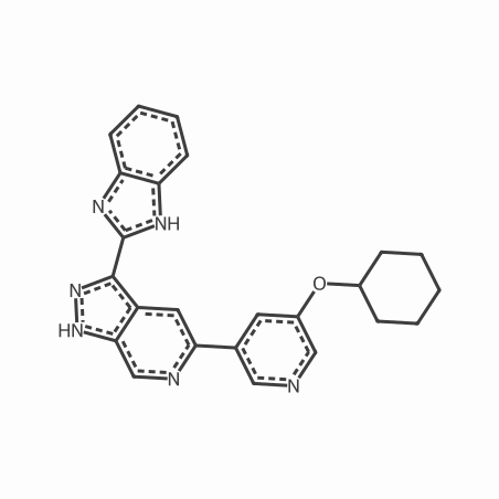 c1ccc2[nH]c(-c3n[nH]c4cnc(-c5cncc(OC6CCCCC6)c5)cc34)nc2c1